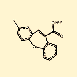 COC(=O)C1=Cc2c[c]([Y])ccc2Oc2ccccc21